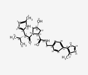 Cc1nnc([C@H](C(=O)N2C[C@H](O)C[C@H]2C(=O)NCc2ccc(-c3scnc3C)cc2)C(C)C)[nH]1